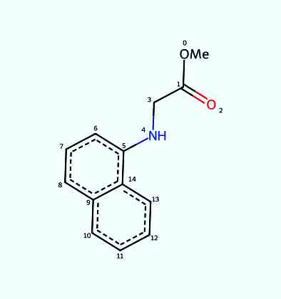 COC(=O)CNc1cccc2ccccc12